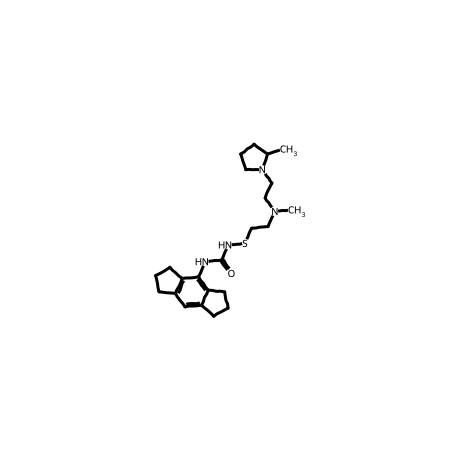 CC1CCCN1CCN(C)CCSNC(=O)Nc1c2c(cc3c1CCC3)CCC2